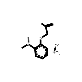 C=C(C)COc1ccccc1[S+](C)C.O=[N+]([O-])[O-]